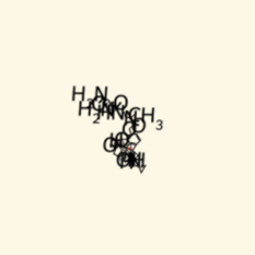 CN(CCNC(=O)[C@@H](N)CC(N)=O)C(=O)Oc1ccc2c3c1O[C@H]1C(=O)CC[C@@]4(O)[C@H]5N(CC6CC6)CC25C[C@]314